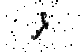 C=CCOC(=O)CCCCCC[C@H]1C(=O)CC[C@@H]1CCCCCCCC